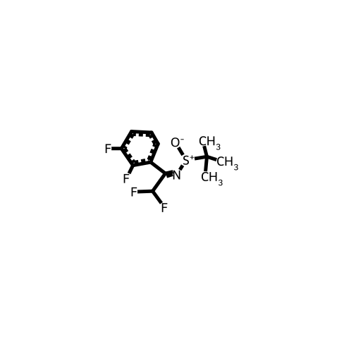 CC(C)(C)[S+]([O-])/N=C(\c1cccc(F)c1F)C(F)F